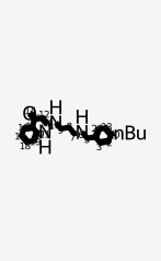 CCCCc1ccc(CNCCCNc2cc(=O)c3ccccc3[nH]2)cc1